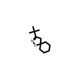 CC(C)(C)C1=NOC2(CCCCC2)C1